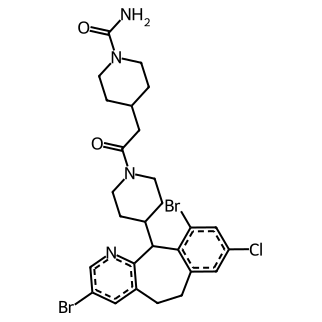 NC(=O)N1CCC(CC(=O)N2CCC(C3c4ncc(Br)cc4CCc4cc(Cl)cc(Br)c43)CC2)CC1